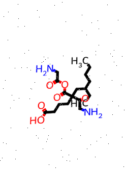 CCCCC(CC)CC(CCCC(=O)O)(C(=O)CN)C(=O)OC(=O)CN